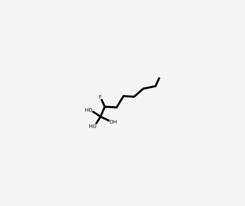 CCCCCCC(F)C(O)(O)O